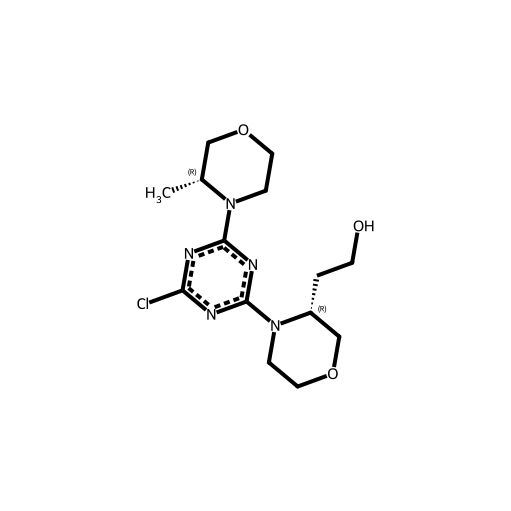 C[C@@H]1COCCN1c1nc(Cl)nc(N2CCOC[C@H]2CCO)n1